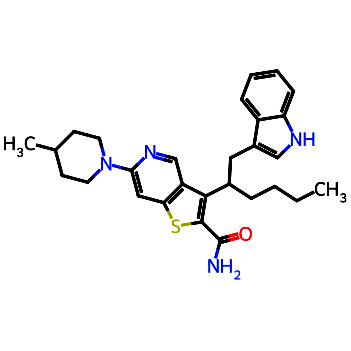 CCCCC(Cc1c[nH]c2ccccc12)c1c(C(N)=O)sc2cc(N3CCC(C)CC3)ncc12